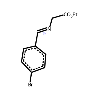 CCOC(=O)C/N=C/c1ccc(Br)cc1